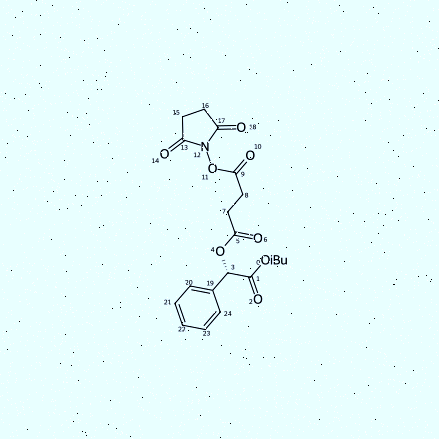 CC(C)COC(=O)[C@@H](OC(=O)CCC(=O)ON1C(=O)CCC1=O)c1ccccc1